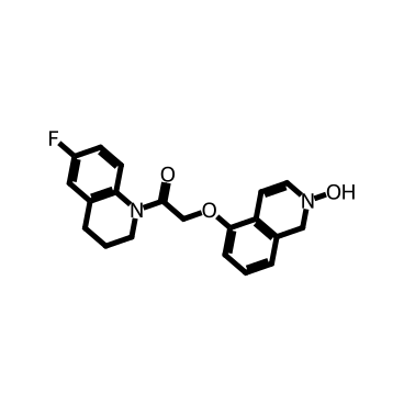 O=C(COc1cccc2c1C=CN(O)C2)N1CCCc2cc(F)ccc21